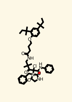 CCC(C)(C)c1ccc(OCCCC(=O)NCC(C)(C)C(=O)C(Cl)(C(=O)Nc2ccccc2)[N+]2(Cc3ccccc3)C(=O)CNC2=O)c(C(C)(C)CC)c1